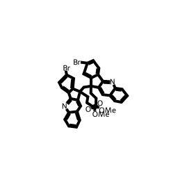 COC(=O)CCC1(CC2(CCC(=O)OC)c3cc(Br)ccc3-c3nc4ccccc4cc32)c2cc(Br)ccc2-c2nc3ccccc3cc21